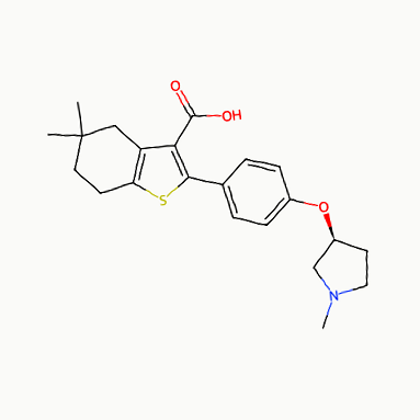 CN1CC[C@H](Oc2ccc(-c3sc4c(c3C(=O)O)CC(C)(C)CC4)cc2)C1